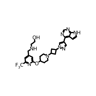 OCCNCc1cc(OC2CCN(C3C[C](n4cc(-c5ncnc6[nH]ccc56)cn4)C3)CC2)nc(C(F)(F)F)c1